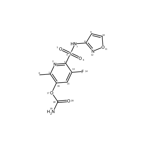 Cc1nc(S(=O)(=O)Nc2ccon2)c(F)cc1OC(N)=O